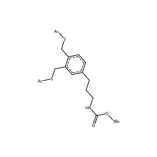 CC(=O)SCc1ccc(CCCNC(=O)OC(C)(C)C)cc1CSC(C)=O